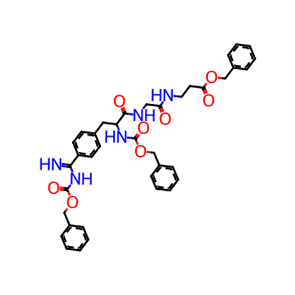 N=C(NC(=O)OCc1ccccc1)c1ccc(CC(NC(=O)OCc2ccccc2)C(=O)NCC(=O)NCCC(=O)OCc2ccccc2)cc1